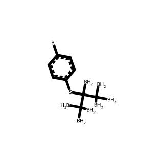 BC(B)(B)C(B)(Sc1ccc(Br)cc1)C(B)(B)B